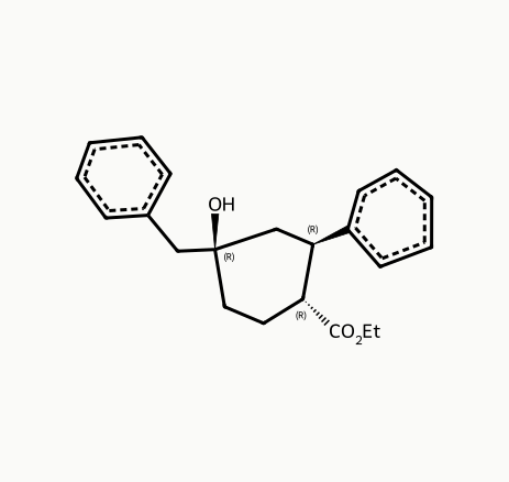 CCOC(=O)[C@@H]1CC[C@](O)(Cc2ccccc2)C[C@H]1c1ccccc1